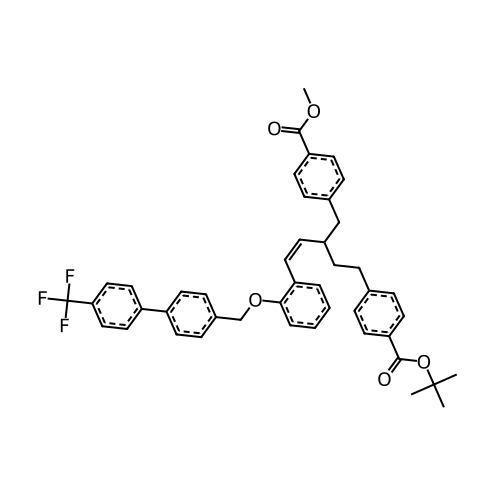 COC(=O)c1ccc(CC(/C=C\c2ccccc2OCc2ccc(-c3ccc(C(F)(F)F)cc3)cc2)CCc2ccc(C(=O)OC(C)(C)C)cc2)cc1